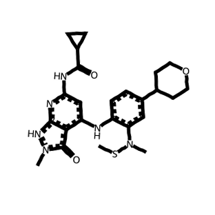 CSN(C)c1cc(C2CCOCC2)ccc1Nc1cc(NC(=O)C2CC2)nc2[nH]n(C)c(=O)c12